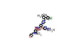 CC1(C)CCC(CN2CCN(c3ccc(C(=O)NS(=O)(=O)c4ccc(NCC5CCOCC5)c([N+](=O)[O-])c4)c(Oc4ccc(NC(=O)O)nc4)c3)CC2)=C(c2ccc(Cl)cc2)C1